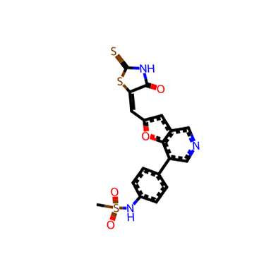 CS(=O)(=O)Nc1ccc(-c2cncc3cc(C=C4SC(=S)NC4=O)oc23)cc1